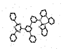 c1ccc(-c2cc(-c3cccc(N4c5ccccc5-c5ccccc5-n5c4nc4ccccc45)c3)cc(-c3nc(-c4ccccc4)nc(-c4ccccc4)n3)c2)cc1